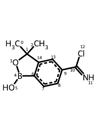 CC1(C)OB(O)c2ccc(C(=N)Cl)cc21